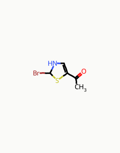 CC(=O)C1=CNC(Br)S1